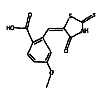 COc1ccc(C(=O)O)c(C=C2SC(=S)NC2=O)c1